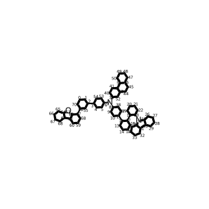 c1cc(-c2ccc(N(c3ccc(-c4ccccc4-c4ccccc4-n4c5ccccc5c5ccccc54)cc3)c3ccc4c(ccc5ccccc54)c3)cc2)cc(-c2cccc3c2oc2ccccc23)c1